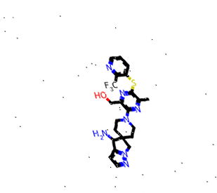 Cc1nc(N2CCC3(CC2)Cn2nccc2C3N)c(CO)nc1Sc1cccnc1C(F)(F)F